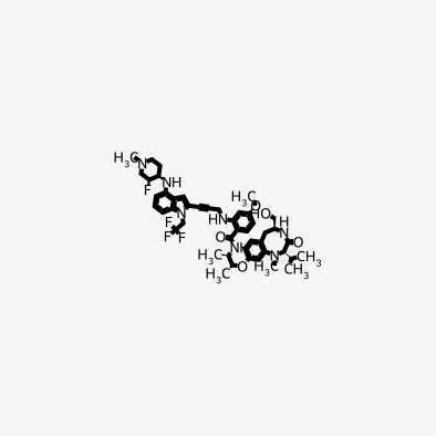 COc1ccc(C(=O)N[C@@H](C)[C@H](C)Oc2ccc3c(c2)N(C)[C@@H](C(C)C)C(=O)N[C@H](CO)C3)c(NCC#Cc2cc3c(N[C@@H]4CCN(C)C[C@@H]4F)cccc3n2CC(F)(F)F)c1